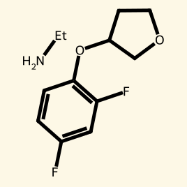 CCN.Fc1ccc(OC2CCOC2)c(F)c1